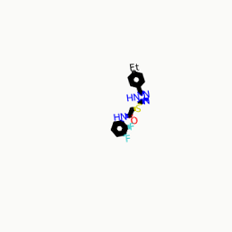 CCc1ccc(-c2nnc(SCC(=O)Nc3cccc(F)c3F)[nH]2)cc1